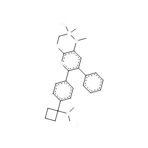 CN1c2cc(-c3ccccc3)c(-c3ccc(C4(N(C(=O)O)C(C)(C)C)CCC4)cc3)nc2OCS1(O)O